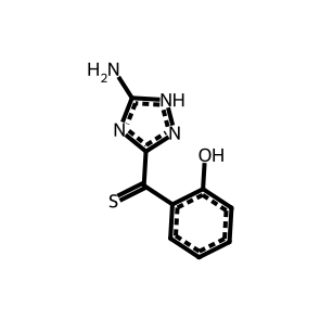 Nc1nc(C(=S)c2ccccc2O)n[nH]1